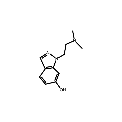 CN(C)CCn1ncc2ccc(O)cc21